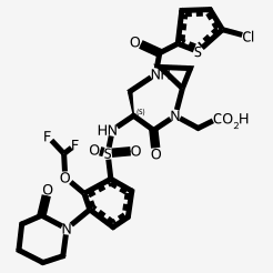 O=C(O)CN(C(=O)[C@H](CNC(=O)c1ccc(Cl)s1)NS(=O)(=O)c1cccc(N2CCCCC2=O)c1OC(F)F)C1CC1